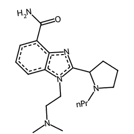 CCCN1CCCC1c1nc2c(C(N)=O)cccc2n1CCN(C)C